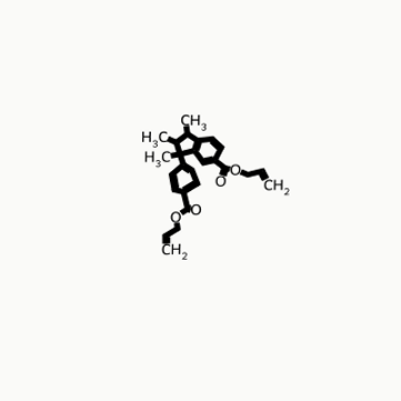 C=CCOC(=O)c1ccc(C2(C)c3cc(C(=O)OCC=C)ccc3C(C)C2C)cc1